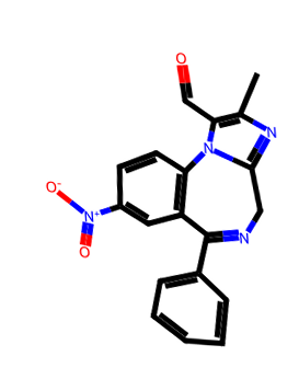 Cc1nc2n(c1C=O)-c1ccc([N+](=O)[O-])cc1C(c1ccccc1)=NC2